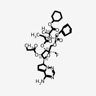 CCC(=O)O[C@H]1[C@H](C2CC=C3C(N)=NC=NN32)O[C@](CF)(CO[P@@](=O)(N[C@@H](C)C(=O)OC2CCCCC2)Oc2ccccc2)[C@H]1OC(=O)CC